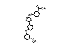 COc1cccc(Oc2cccc(-c3nnc(Nc4cccc(C(C)=O)c4)s3)c2)c1